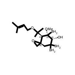 BC1(B)C[C@]2(CO2)[C@@H](C(C)(C)OCC=C(C)C)[C@](B)(OC)[C@@H]1O